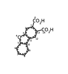 O=C(O)c1cc2oc3ccccc3c2cc1C(=O)O